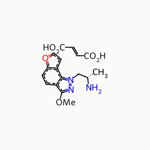 COc1nn(C[C@H](C)N)c2c1ccc1occc12.O=C(O)C=CC(=O)O